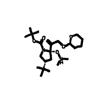 C=C(COC1CCCCO1)[C@@]1(O[SiH](C)C)C[C@H](C(C)(C)C)CN1C(=O)OC(C)(C)C